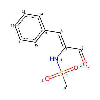 CS(=O)(=O)NC([C]=O)=Cc1ccccc1